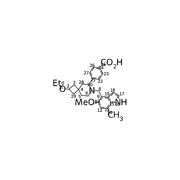 CCOC1CC2(CCN(Cc3c(OC)cc(C)c4[nH]ccc34)C(c3ccc(C(=O)O)cc3)C2)C1